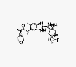 Cc1cc2nc(-c3n[nH]c4c3C[C@@H]3C(F)(F)[C@]3(C)C4)[nH]c2cc1N(C)C(=O)[C@H](C)N1CCOCC1